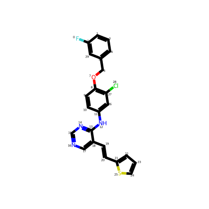 Fc1cccc(COc2ccc(Nc3ncncc3C=Cc3cccs3)cc2Cl)c1